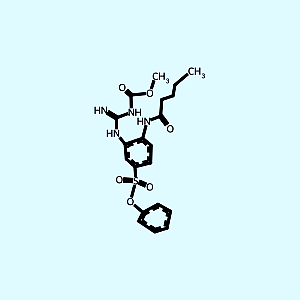 CCCCC(=O)Nc1ccc(S(=O)(=O)Oc2ccccc2)cc1NC(=N)NC(=O)OC